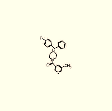 Cc1cncc(C(=O)N2CCN(C(c3ccccc3)c3ccc(F)cc3)CC2)c1